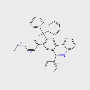 C=C/C(=C\C)c1nc2ccccc2c2cc(C(C)(c3ccccc3)c3ccccc3)c(C(=C)/C=C\C=C/C)cc12